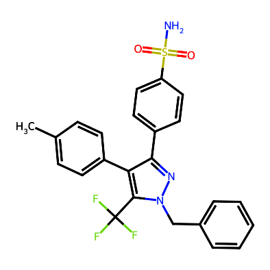 Cc1ccc(-c2c(-c3ccc(S(N)(=O)=O)cc3)nn(Cc3ccccc3)c2C(F)(F)F)cc1